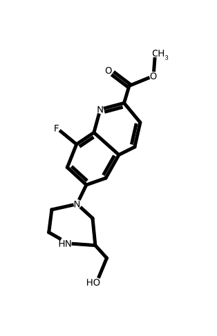 COC(=O)c1ccc2cc(N3CCNC(CO)C3)cc(F)c2n1